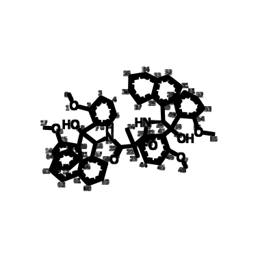 COc1ccccc1C(O)(c1ccccc1OC)[C@@H](NC(=O)C(C)(C)C(=O)N[C@@H](c1cccc2ccccc12)C(O)(c1ccccc1OC)c1ccccc1OC)c1cccc2ccccc12